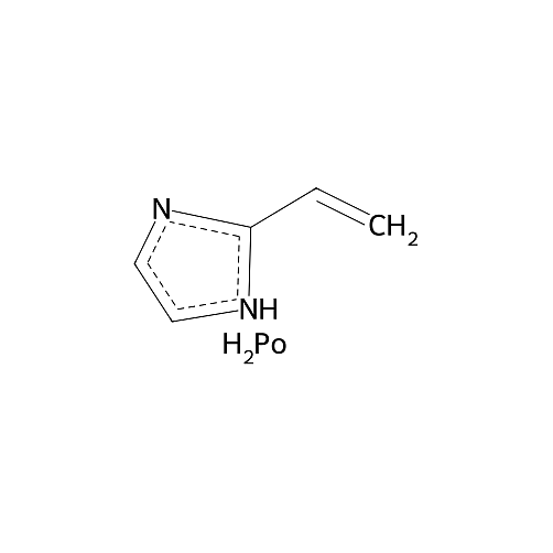 C=Cc1ncc[nH]1.[PoH2]